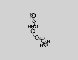 O=C(Nc1ccc(CC2CCN(C(=O)CC3C[C@H]4CC[C@H]3C4)CC2)cc1)C1CN(c2cccnn2)C1